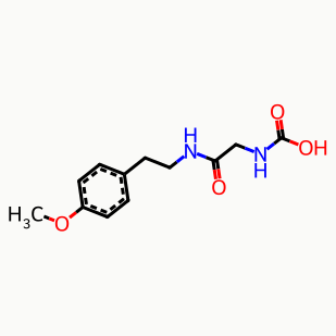 COc1ccc(CCNC(=O)CNC(=O)O)cc1